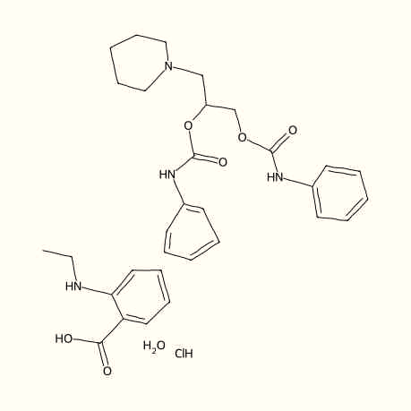 CCNc1ccccc1C(=O)O.Cl.O.O=C(Nc1ccccc1)OCC(CN1CCCCC1)OC(=O)Nc1ccccc1